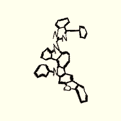 c1ccc(-c2nc(-n3c4ccccc4c4c3ccc3c5cc6c(cc5n(-c5ccccc5)c34)oc3ccccc36)nc3ccccc23)cc1